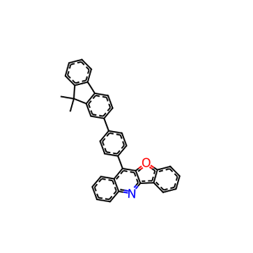 CC1(C)c2ccccc2-c2ccc(-c3ccc(-c4c5ccccc5nc5c4oc4ccccc45)cc3)cc21